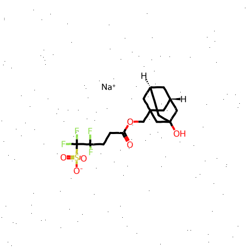 O=C(CCC(F)(F)C(F)(F)S(=O)(=O)[O-])OCC12C[C@@H]3C[C@@H](CC(O)(C3)C1)C2.[Na+]